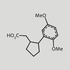 COc1ccc(OC)c(C2CCCC2CC(=O)O)c1